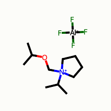 CC(C)OC[N+]1(C(C)C)CCCC1.[F][Al-]([F])([F])[F]